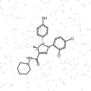 C[C@@H]1C(C(=O)NN2CCCCC2)=NN(c2ccc(Cl)cc2Cl)[C@H]1c1ccc(O)cc1